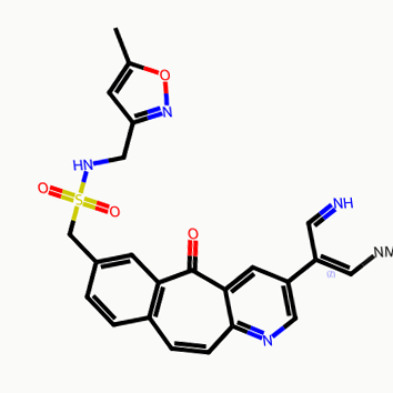 CN/C=C(\C=N)c1cnc2ccc3ccc(CS(=O)(=O)NCc4cc(C)on4)cc3c(=O)c2c1